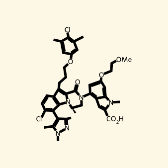 COCCOc1cc(N2C[C@@H](C)n3c(c(CCCOc4cc(C)c(Cl)c(C)c4)c4ccc(Cl)c(-c5c(C)nn(C)c5C)c43)C2=O)c2cc(C(=O)O)n(C)c2c1